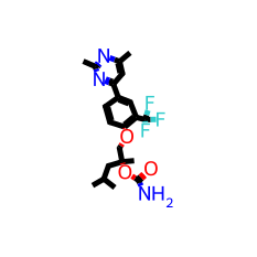 Cc1cc(-c2ccc(OCC(C)(CC(C)C)OC(N)=O)c(C(F)(F)F)c2)nc(C)n1